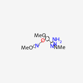 CNc1ncc(-c2ccc(OC)c(OCCCN3CC(OC)C3)c2)c(N)n1